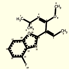 C/C=C(\C(=N/C(C)C)OC)c1nc2c(F)cccc2o1